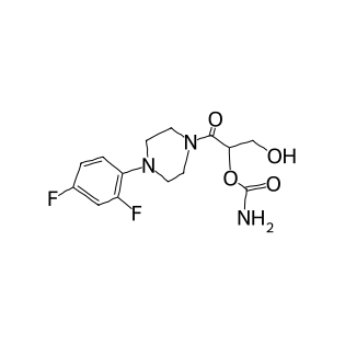 NC(=O)OC(CO)C(=O)N1CCN(c2ccc(F)cc2F)CC1